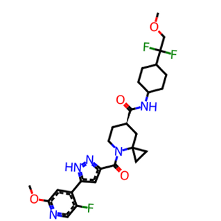 COCC(F)(F)C1CCC(NC(=O)[C@@H]2CCN(C(=O)c3cc(-c4cc(OC)ncc4F)[nH]n3)C3(CC3)C2)CC1